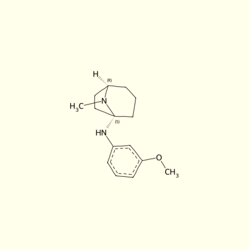 COc1cccc(N[C@]23CCC[C@H](CC2)N3C)c1